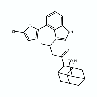 CC(CC(=O)N1C2CC3CC(C2)C(C(=O)O)C1C3)c1c[nH]c2cccc(-c3ccc(Cl)o3)c12